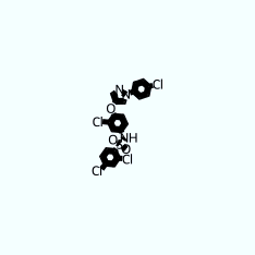 O=S(=O)(Nc1ccc(Oc2cnn(-c3ccc(Cl)cc3)c2)c(Cl)c1)c1ccc(Cl)cc1Cl